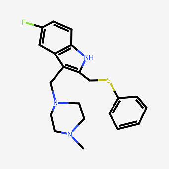 CN1CCN(Cc2c(CSc3ccccc3)[nH]c3ccc(F)cc23)CC1